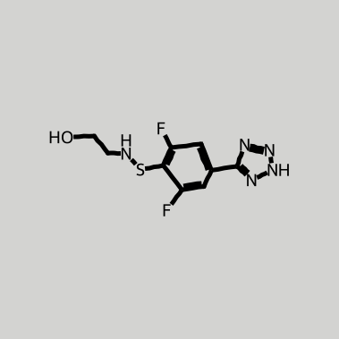 OCCNSc1c(F)cc(-c2nn[nH]n2)cc1F